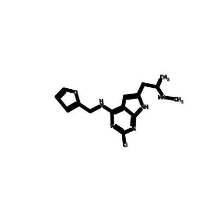 CNC(C)Cc1cc2c(NCc3ccco3)nc(Cl)nc2[nH]1